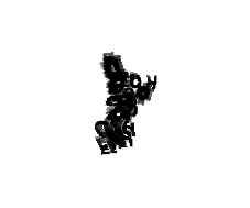 CCNC(=O)Nc1ccn([C@@H]2O[C@H](COCC3CCCC3C(=O)O)C3O[C@H](c4ccccc4)O[C@@H]32)c(=O)n1